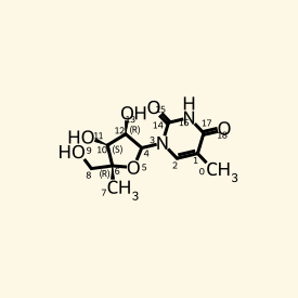 Cc1cn(C2O[C@](C)(CO)[C@@H](O)[C@H]2O)c(=O)[nH]c1=O